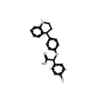 O=C(O)C(Oc1ccc(C2CCOc3ccccc32)cc1)c1ccc(Cl)cc1